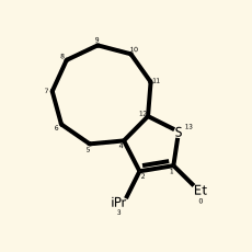 CCC1=C(C(C)C)C2CCCCCCCC2S1